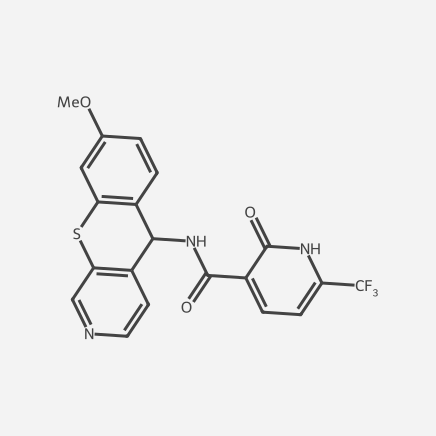 COc1ccc2c(c1)Sc1cnccc1C2NC(=O)c1ccc(C(F)(F)F)[nH]c1=O